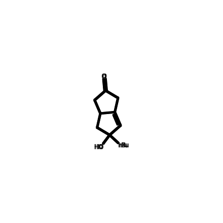 CCCCC1(O)C=C2CC(=O)CC2C1